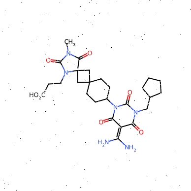 CN1C(=O)N(CCC(=O)O)C2(CC3(CCC(N4C(=O)C(=C(N)N)C(=O)N(CC5CCCC5)C4=O)CC3)C2)C1=O